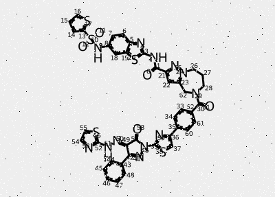 O=C(Nc1nc2ccc(NS(=O)(=O)c3cccs3)cc2s1)c1cc2n(n1)CCCN(C(=O)c1ccc(-c3csc(N4N=C(c5ccccc5)/C(=N\Nc5nccs5)C4=O)n3)cc1)C2